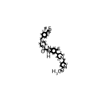 COc1ccc(CN2CCC(c3cc4[nH]c(C(=O)N5CCN(Cc6ccc(C(F)(F)F)cc6)CC5)nc4cc3F)CC2)cn1